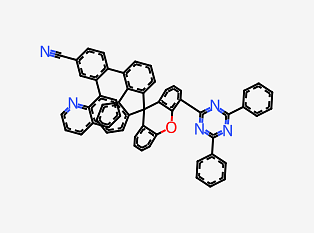 N#Cc1ccc(-c2cccc3c2-c2ccccc2C32c3ccccc3Oc3c(-c4nc(-c5ccccc5)nc(-c5ccccc5)n4)cccc32)c(-c2cccc3cccnc23)c1